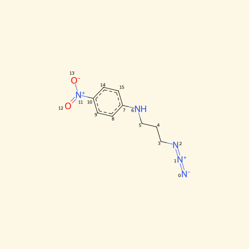 [N-]=[N+]=NCCCNc1ccc([N+](=O)[O-])cc1